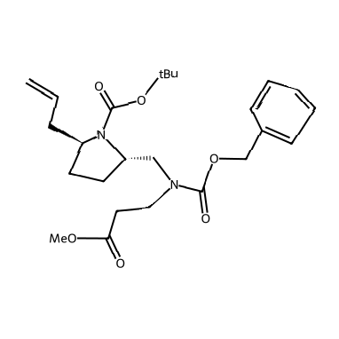 C=CC[C@@H]1CC[C@@H](CN(CCC(=O)OC)C(=O)OCc2ccccc2)N1C(=O)OC(C)(C)C